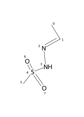 CC=NNS(C)(=O)=O